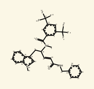 CN(C(=O)c1cc(C(F)(F)F)cc(C(F)(F)F)c1)C(C=CC(=O)NCc1ccccn1)Cc1cn(C)c2ccccc12